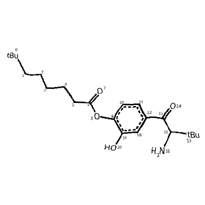 CC(C)(C)CCCCCC(=O)Oc1ccc(C(=O)C(N)C(C)(C)C)cc1O